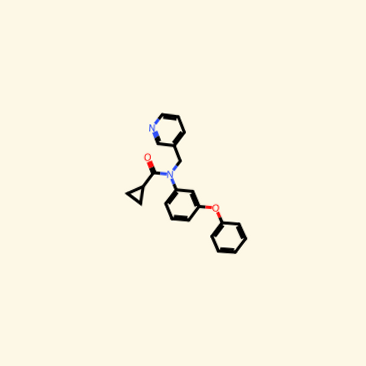 O=C(C1CC1)N(Cc1cccnc1)c1cccc(Oc2ccccc2)c1